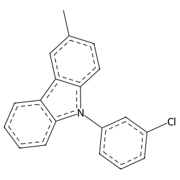 Cc1ccc2c(c1)c1ccccc1n2-c1cccc(Cl)c1